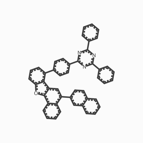 c1ccc(-c2nc(-c3ccccc3)nc(-c3ccc(-c4cccc5oc6c7ccccc7c(-c7ccc8ccccc8c7)cc6c45)cc3)n2)cc1